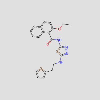 CCOc1ccc2ccccc2c1C(=O)Nc1nnc(NCCc2cccs2)s1